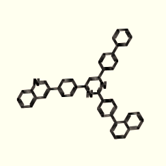 c1ccc(-c2ccc(-c3cc(-c4ccc(-c5cnc6ccccc6c5)cc4)nc(-c4ccc(-c5cccc6ccccc56)cc4)n3)cc2)cc1